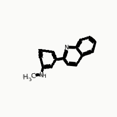 CNc1cccc(-c2ccc3ccccc3n2)c1